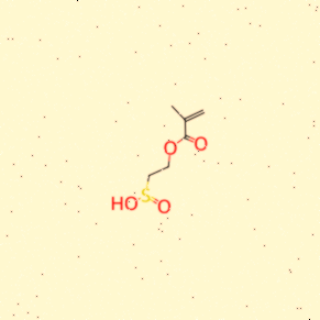 C=C(C)C(=O)OCCS(=O)O